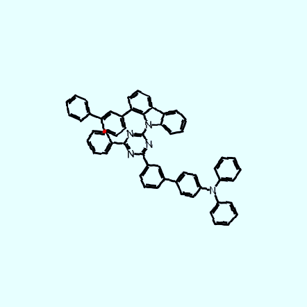 c1ccc(-c2cccc(-c3cccc4c5ccccc5n(-c5nc(-c6ccccc6)nc(-c6cccc(-c7ccc(N(c8ccccc8)c8ccccc8)cc7)c6)n5)c34)c2)cc1